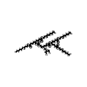 CCCCCCSCCOC(=O)CCCC(CCCC(=O)OCCSCCCCCC)OC(=O)OCCN(CCOC(=O)OC(CCCC(=O)OCCSCCCCCC)CCCC(=O)OCCSCCCCCC)CCN(CC)CC